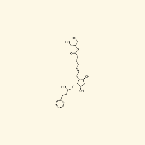 O=C(CCCC=CC[C@@H]1[C@@H](CCC(O)CCc2ccccc2)[C@H](O)C[C@@H]1O)OC(CO)CO